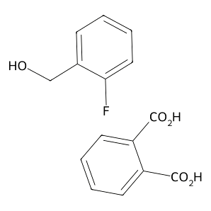 O=C(O)c1ccccc1C(=O)O.OCc1ccccc1F